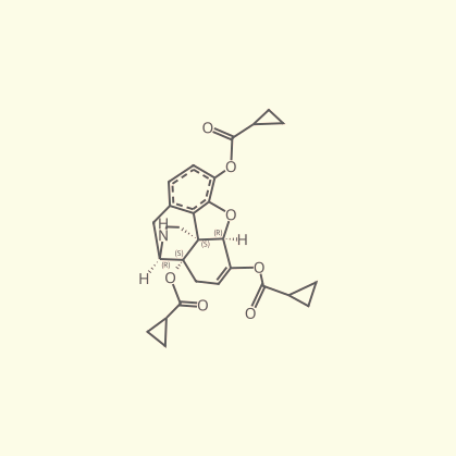 O=C(OC1=CC[C@@]2(OC(=O)C3CC3)[C@H]3Cc4ccc(OC(=O)C5CC5)c5c4[C@@]2(CCN3)[C@H]1O5)C1CC1